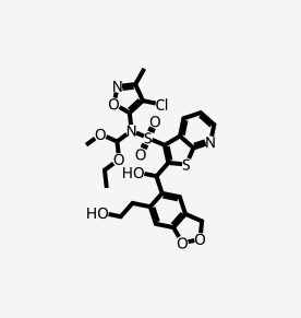 CCOC(OC)N(c1onc(C)c1Cl)S(=O)(=O)c1c(C(O)c2cc3c(cc2CCO)OOC3)sc2ncccc12